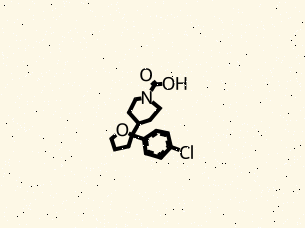 O=C(O)N1CCC(C2(c3ccc(Cl)cc3)CCCO2)CC1